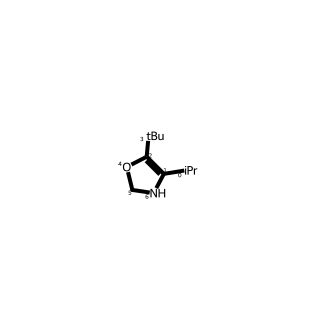 CC(C)C1=C(C(C)(C)C)OCN1